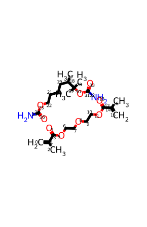 C=C(C)C(=O)OCCOCCOC(=O)C(=C)C.CC(CCCCOC(N)=O)C(C)(C)OC(N)=O